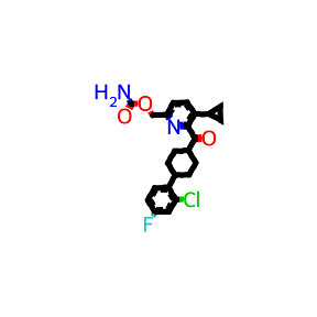 NC(=O)OCc1ccc(C2CC2)c(C(=O)C2CCC(c3ccc(F)cc3Cl)CC2)n1